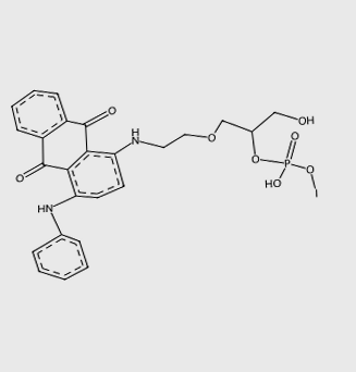 O=C1c2ccccc2C(=O)c2c(Nc3ccccc3)ccc(NCCOCC(CO)OP(=O)(O)OI)c21